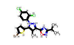 Cc1c(-c2nc(C(C)C)no2)nn(-c2ccc(Cl)cc2Cl)c1-c1ccc(Br)s1